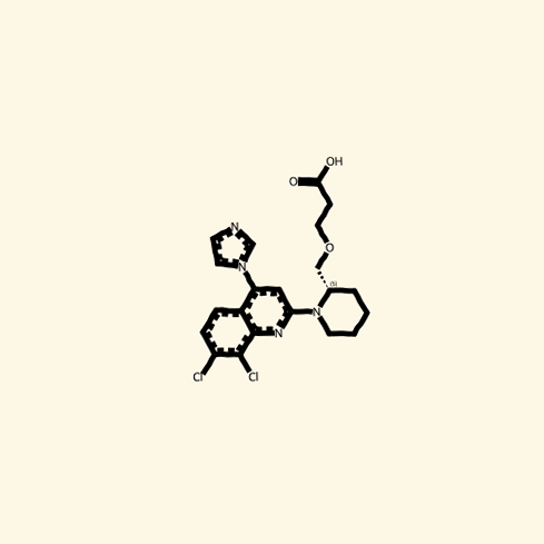 O=C(O)CCOC[C@@H]1CCCCN1c1cc(-n2ccnc2)c2ccc(Cl)c(Cl)c2n1